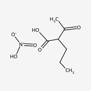 CCCC(C(C)=O)C(=O)O.O=[N+]([O-])O